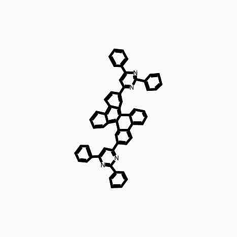 c1ccc(-c2cc(-c3ccc4c5ccccc5c5c6cc(-c7cc(-c8ccccc8)nc(-c8ccccc8)n7)ccc6c6ccccc6c5c4c3)nc(-c3ccccc3)n2)cc1